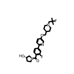 CC(C)(F)CN1CCC(COc2ccc(-c3ccc(C(=O)N4CC[C@H](O)C4)c(F)c3)nc2)CC1